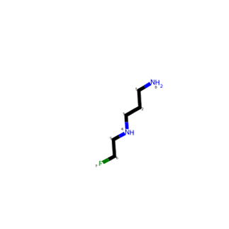 NCCCNCCF